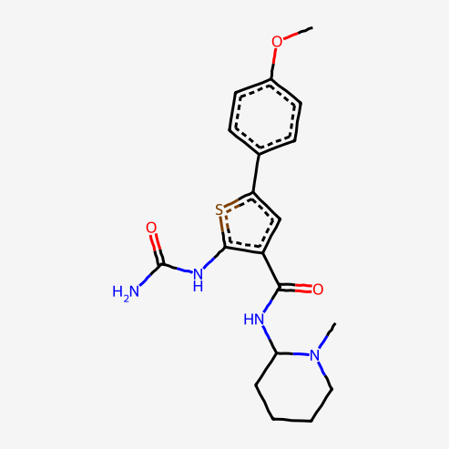 COc1ccc(-c2cc(C(=O)NC3CCCCN3C)c(NC(N)=O)s2)cc1